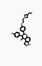 CC1=C(c2ccc(F)cc2)C(c2ccc(OCCN3CC(CF)C3)cc2)Oc2ccc3[nH]ncc3c21